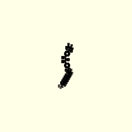 O=C(Nc1ccc(OS(=O)(=O)C(F)(F)C(F)(F)C(F)(F)C(F)(F)C(F)(F)C(F)(F)C(F)(F)C(F)(F)F)cc1)Nc1ccc(S(=O)(=O)C(F)(F)C(F)F)cc1